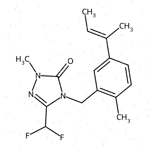 CC=C(C)c1ccc(C)c(Cn2c(C(F)F)nn(C)c2=O)c1